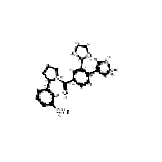 COc1cccc(C2CCCN2C(=O)c2ccc(-c3cn[nH]c3)c(C3OCCO3)c2)c1